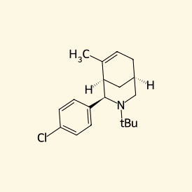 CC1=CC[C@@H]2C[C@H]1[C@H](c1ccc(Cl)cc1)N(C(C)(C)C)C2